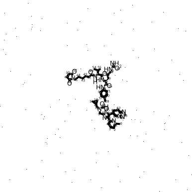 Cc1cccc(-c2nc(CN(CC3CC3)C(=O)OCc3ccc(NC(=O)[C@H](CCCNC(N)=O)NC(=O)C(NC(=O)CCCCCN4C(=O)C=CC4=O)C(C)C)cc3)[nH]c2-c2ccc3ncnn3c2)n1